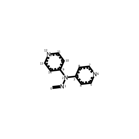 C=NN(c1ccncc1)c1ccncc1